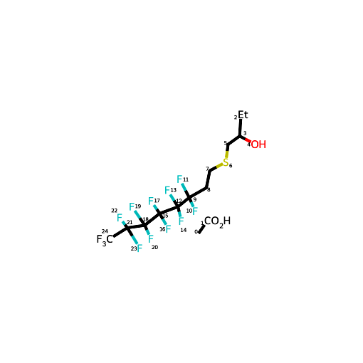 CC(=O)O.CCC(O)CSCCC(F)(F)C(F)(F)C(F)(F)C(F)(F)C(F)(F)C(F)(F)F